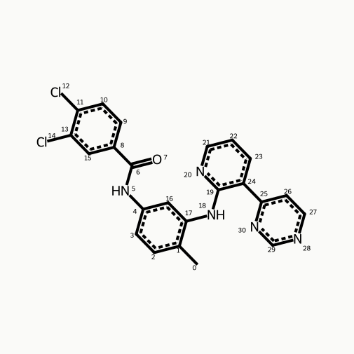 Cc1ccc(NC(=O)c2ccc(Cl)c(Cl)c2)cc1Nc1ncccc1-c1ccncn1